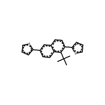 CC(C)(C)c1c(-c2cccs2)ccc2cc(-c3cccs3)ccc12